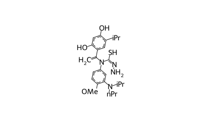 C=C(c1cc(C(C)C)c(O)cc1O)N(/C(S)=N\N)c1ccc(OC)c(N(CCC)C(C)C)c1